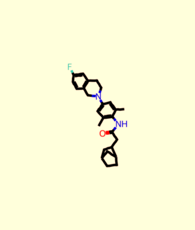 Cc1cc(N2CCc3cc(F)ccc3C2)cc(C)c1NC(=O)CC1CC2CCC1C2